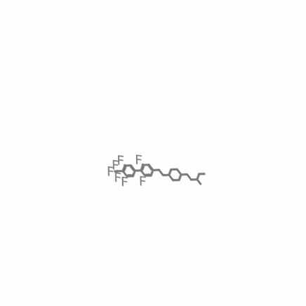 CCC(C)CCC1CCC(CCc2cc(F)c(-c3cc(F)c(C(F)(F)F)c(F)c3)c(F)c2)CC1